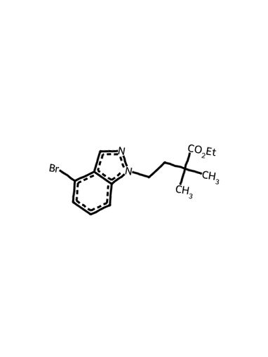 CCOC(=O)C(C)(C)CCn1ncc2c(Br)cccc21